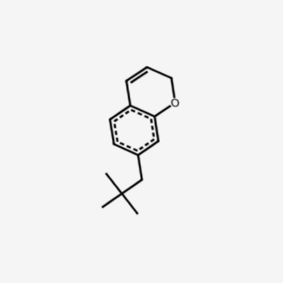 CC(C)(C)Cc1ccc2c(c1)OCC=C2